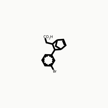 O=C(O)CC1C2C=CC(C2)C1c1cccc(Br)c1